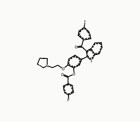 O=C(Oc1cc(-c2sc3ccccc3c2C(=O)c2ccc(F)cc2)ccc1OCCN1CCCC1)c1ccc(F)cc1